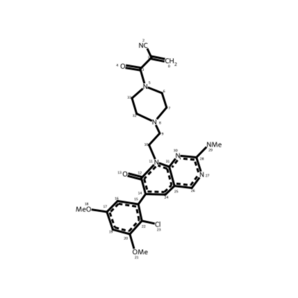 C=C(C#N)C(=O)N1CCN(CCn2c(=O)c(-c3cc(OC)cc(OC)c3Cl)cc3cnc(NC)nc32)CC1